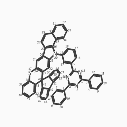 c1ccc(-c2nc(-c3ccccc3)nc(-c3cccc(-n4c5cc6c(cc5c5ccc7ccccc7c54)Sc4ccccc4C64c5ccccc5-c5ccccc54)c3)n2)cc1